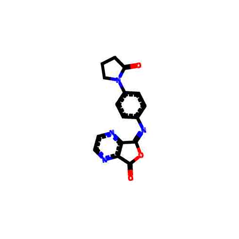 O=C1O/C(=N/c2ccc(N3CCCC3=O)cc2)c2nccnc21